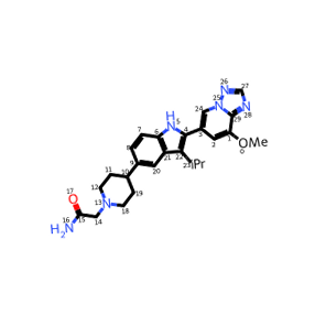 COc1cc(-c2[nH]c3ccc(C4CCN(CC(N)=O)CC4)cc3c2C(C)C)cn2ncnc12